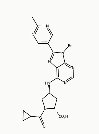 CCn1c(-c2cnc(C)nc2)nc2c(N[C@H]3C[C@H](C(=O)O)N(C(=O)C4CC4)C3)ncnc21